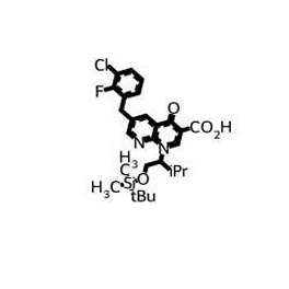 CC(C)C(CO[Si](C)(C)C(C)(C)C)n1cc(C(=O)O)c(=O)c2cc(Cc3cccc(Cl)c3F)cnc21